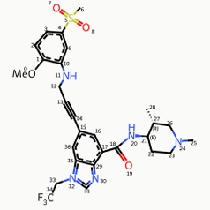 COc1ccc(S(C)(=O)=O)cc1NCC#Cc1cc(C(=O)N[C@@H]2CCN(C)C[C@H]2C)c2ncn(CC(F)(F)F)c2c1